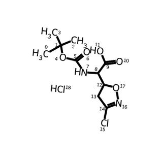 CC(C)(C)OC(=O)NC(C(=O)O)C1CC(Cl)=NO1.Cl